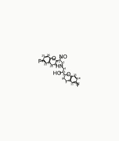 O=NC(CNCC(O)C1CCc2cc(F)ccc2O1)C1CCc2cc(F)ccc2O1